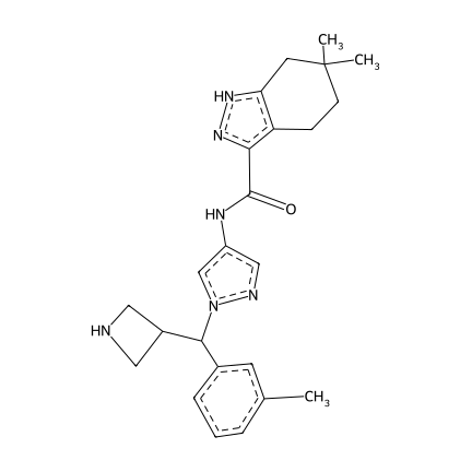 Cc1cccc(C(C2CNC2)n2cc(NC(=O)c3n[nH]c4c3CCC(C)(C)C4)cn2)c1